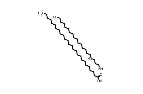 CCCCCCCCCCCCCCCCCCCCCCCCCC(=O)O.CCCCCCCCCCCCCCCCNCCCN